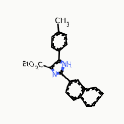 CCOC(=O)c1nc(-c2ccc3ccccc3c2)[nH]c1-c1ccc(C)cc1